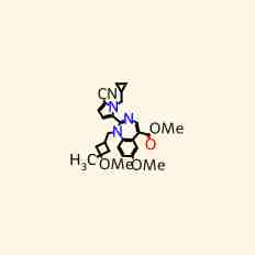 COC(=O)C1=CN=C(c2ccc(C#N)n2CC2CC2)N(CC2CC(C)(OC)C2)c2ccc(OC)cc21